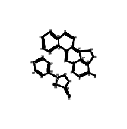 Cc1ccc2cc3c(ccc4ccccc43)c3c2c1CC3.O=C1CCN(c2ccccc2)N1